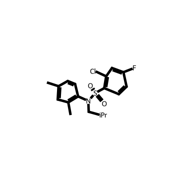 Cc1ccc(N(CC(C)C)S(=O)(=O)c2ccc(F)cc2Cl)c(C)c1